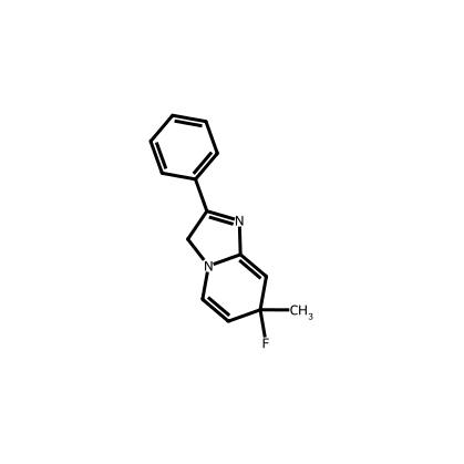 CC1(F)C=CN2CC(c3ccccc3)=NC2=C1